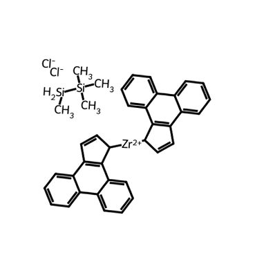 C1=C[CH]([Zr+2][CH]2C=Cc3c2c2ccccc2c2ccccc32)c2c1c1ccccc1c1ccccc21.C[SiH2][Si](C)(C)C.[Cl-].[Cl-]